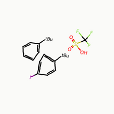 CC(C)(C)c1ccc(I)cc1.CC(C)(C)c1ccccc1.O=S(=O)(O)C(F)(F)F